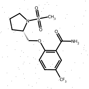 CS(=O)(=O)N1CCC[C@H]1COc1ccc(C(F)(F)F)cc1C(N)=O